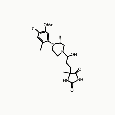 COc1cc(N2CCN(C(O)CCC3(C)NC(=O)NC3=O)C[C@@H]2C)c(C)cc1Cl